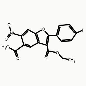 CCOC(=O)c1c(-c2ccc(F)cc2)oc2cc([N+](=O)[O-])c(C(C)=O)cc12